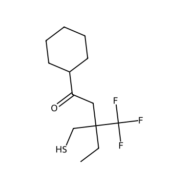 CCC(CS)(CC(=O)C1CCCCC1)C(F)(F)F